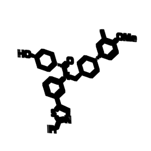 COc1ccc([C@H]2CC[C@H](CN(c3cccc(-c4cnc(C(C)C)s4)c3)C(=O)[C@H]3CC[C@H](O)CC3)CC2)cc1C